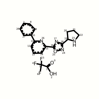 O=C(O)C(F)(F)F.c1ccc(-c2cccc(-c3nc(C4CCCN4)no3)n2)cc1